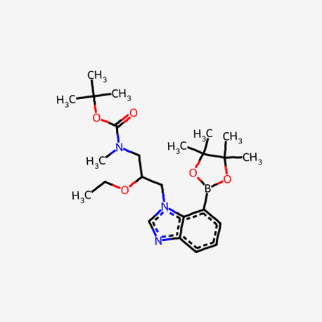 CCOC(CN(C)C(=O)OC(C)(C)C)Cn1cnc2cccc(B3OC(C)(C)C(C)(C)O3)c21